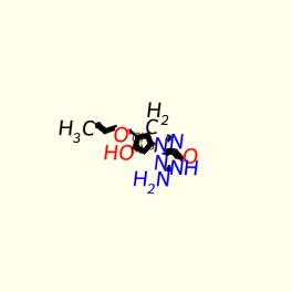 C=C1[C@H](COCCCC)[C@@H](O)C[C@@H]1n1cnc2c(=O)[nH]c(N)nc21